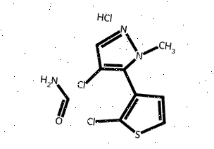 Cl.Cn1ncc(Cl)c1-c1ccsc1Cl.NC=O